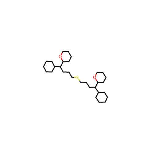 C1CCC(C(CCCSCCCC(C2CCCCC2)C2CCCCO2)C2CCCCO2)CC1